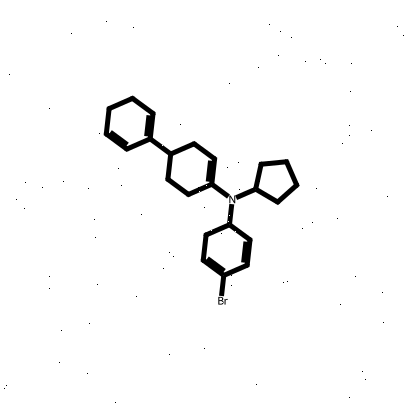 BrC1=CCC(N(C2=CCC(C3=CCCC=C3)CC2)C2CCCC2)C=C1